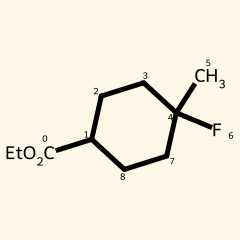 CCOC(=O)C1CCC(C)(F)CC1